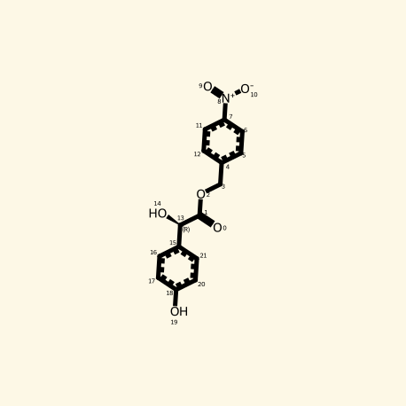 O=C(OCc1ccc([N+](=O)[O-])cc1)[C@H](O)c1ccc(O)cc1